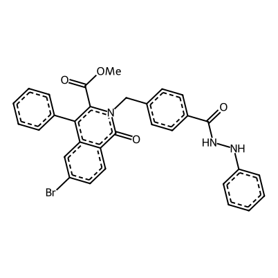 COC(=O)c1c(-c2ccccc2)c2cc(Br)ccc2c(=O)n1Cc1ccc(C(=O)NNc2ccccc2)cc1